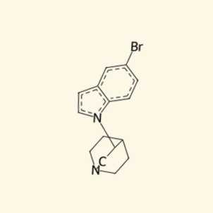 Brc1ccc2c(ccn2C2CN3CCC2CC3)c1